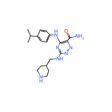 CC(C)c1ccc(Nc2nc(NCC3CCNCC3)nnc2C(N)=O)cc1